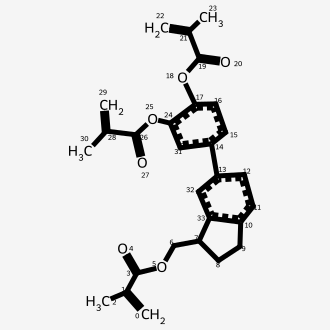 C=C(C)C(=O)OCC1CCc2ccc(-c3ccc(OC(=O)C(=C)C)c(OC(=O)C(=C)C)c3)cc21